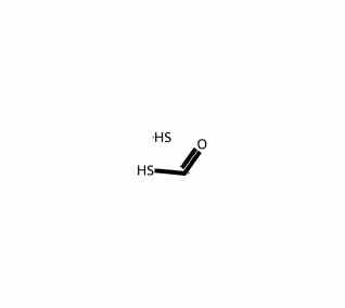 O=[C]S.[SH]